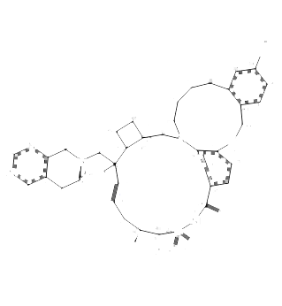 COC1(CN2CCc3cncnc3C2)/C=C/C[C@H](C)[C@@H](C)S(=O)(=O)NC(=O)c2ccc3c(c2)N(CCCCc2cc(Cl)ccc2CO3)C[C@@H]2CCC21